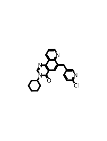 O=c1c2cc(Cc3ccc(Cl)nc3)c3ncccc3c2ncn1C1CCCCC1